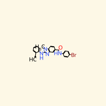 C#Cc1ccccc1Nc1nc2cc(C(=O)Nc3ccc(Br)cc3)ccc2n1C